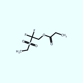 CCC(=O)OCC(F)(F)S(=O)(=O)CC